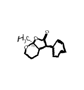 C[C@@]12OCCCC1=C(c1ccccc1)C(=O)O2